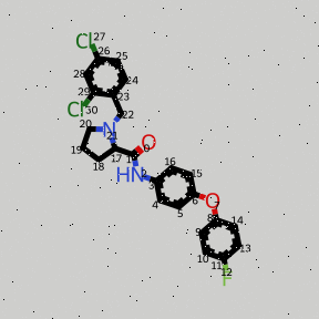 O=C(Nc1ccc(Oc2ccc(F)cc2)cc1)C1CCCN1Cc1ccc(Cl)cc1Cl